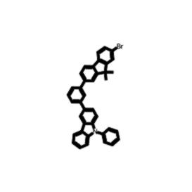 CC1(C)c2cc(Br)ccc2-c2ccc(-c3cccc(-c4ccc5c(c4)c4ccccc4n5-c4ccccc4)c3)cc21